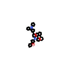 c1ccc(-n2c3ccccc3c3cc(-c4ccc(N(c5ccc6c(c5)oc5ccccc56)c5ccccc5-c5cccc6cccc(C7CCCCC7)c56)cc4)ccc32)cc1